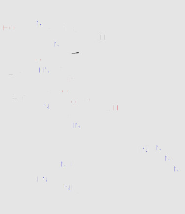 CC(C)C[C@H](NC(=O)[C@@H](N)CO)C(=O)N[C@H](C(=O)N[C@@H](CCCNC(=N)N)C(=O)N[C@@H](CCCCNN=[N+]=[N-])C(=O)O)C(C)C